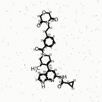 CC1CN(C(=O)c2cccc(CCN3C(=O)COCC3=O)c2)CC=C1c1cc(NC(=O)C2CC2)nc2[nH]ccc12